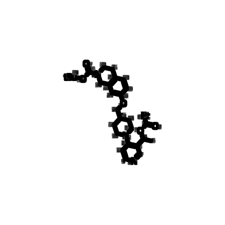 CCC(=O)OC(C)c1cnccc1N1CCC(COc2ccc3c(c2)CN(C(=O)OC(C)(C)C)CC3)CC1